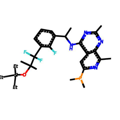 CC[Si](CC)(CC)OC(C)(C)C(F)(F)c1cccc(C(C)Nc2nc(C)nc3c(C)nc(P(C)C)cc23)c1F